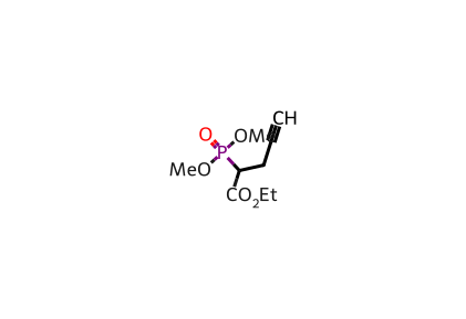 C#CCC(C(=O)OCC)P(=O)(OC)OC